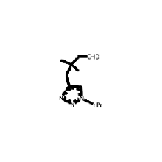 CCCn1cc(CC(C)(C)CC=O)nn1